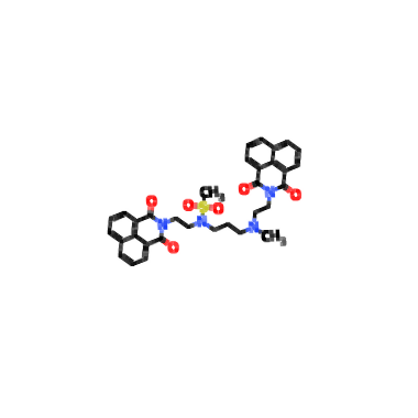 CN(CCCN(CCN1C(=O)c2cccc3cccc(c23)C1=O)S(C)(=O)=O)CCN1C(=O)c2cccc3cccc(c23)C1=O